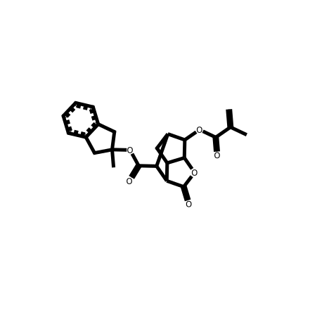 C=C(C)C(=O)OC1C2CC3C1OC(=O)C3C2C(=O)OC1(C)Cc2ccccc2C1